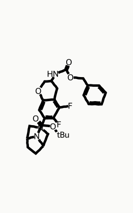 CC(C)(C)OC(=O)N1C2CCC1CN(c1cc3c(c(F)c1F)CC(NC(=O)OCc1ccccc1)CO3)C2